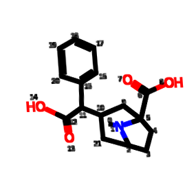 CN1C2CCC1(C(=O)O)CC(C(C(=O)O)c1ccccc1)C2